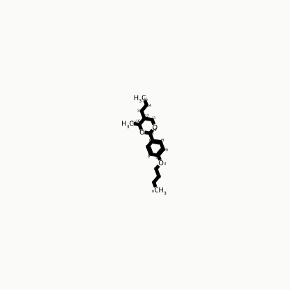 CCCCOc1ccc(C2OCC(CCC)C(C)O2)cc1